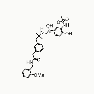 COc1ccccc1CNC(=O)Cc1cccc(CC(C)(C)NC[C@H](O)c2ccc(O)c(NS(C)(=O)=O)c2)c1